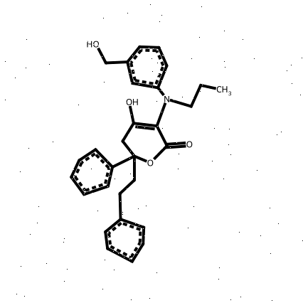 CCCN(C1=C(O)CC(CCc2ccccc2)(c2ccccc2)OC1=O)c1cccc(CO)c1